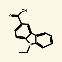 CCn1c2ccccc2c2cc(C(=O)O)ccc21